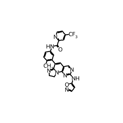 Cc1ccc(NC(=O)c2cc(C(F)(F)F)ccn2)cc1C1=Cc2cnc(Nc3ccno3)nc2N2CCN=C12